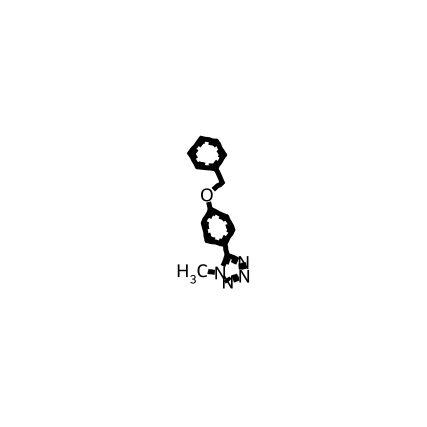 Cn1nnnc1-c1ccc(OCc2ccccc2)cc1